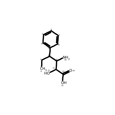 CCC(c1ccccc1)C(N)C(O)C(=O)O